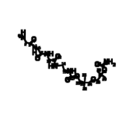 CNCC(=O)NCC(=O)NCC(=O)NCCNC(=O)OCC(C)(C)COCC(C)(C)OC(N)=O